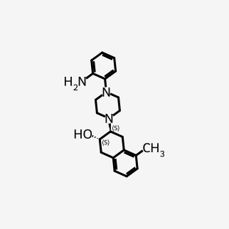 Cc1cccc2c1C[C@H](N1CCN(c3ccccc3N)CC1)[C@@H](O)C2